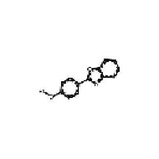 CCOc1ccc(-c2nc3ccccc3o2)cc1